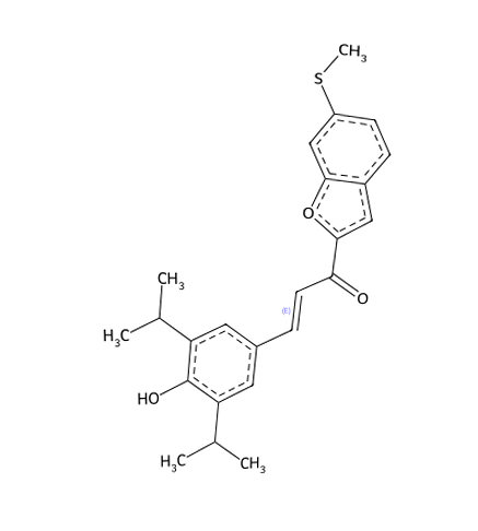 CSc1ccc2cc(C(=O)/C=C/c3cc(C(C)C)c(O)c(C(C)C)c3)oc2c1